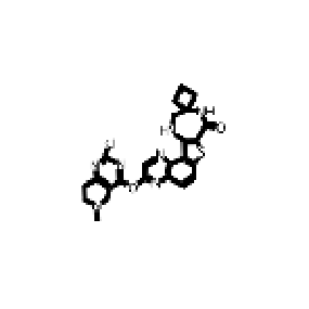 CN1CCc2nc(Cl)nc(Oc3cnc4c(ccc5sc6c(c54)NCC4(CCC4)NC6=O)n3)c2C1